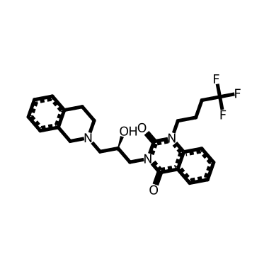 O=c1c2ccccc2n(CCCC(F)(F)F)c(=O)n1C[C@H](O)CN1CCc2ccccc2C1